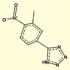 Cc1cc(-c2nnn[nH]2)ccc1[N+](=O)[O-]